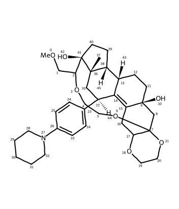 COCC1OCCOC23C[C@@]4(O)CC[C@@H]5C(=C4CC2OCCO3)[C@@H](c2ccc(N3CCCCC3)cc2)C[C@@]2(C)[C@@H]5CC[C@@]12O